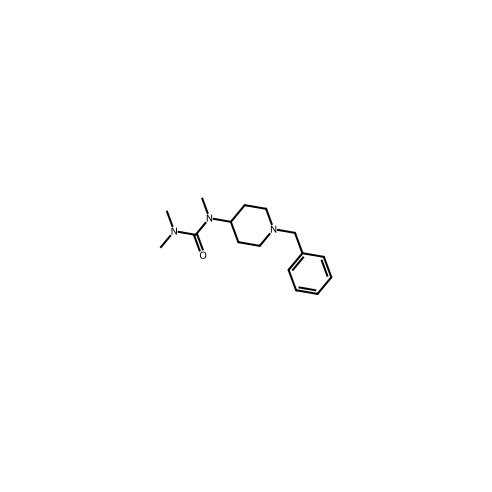 CN(C)C(=O)N(C)C1CCN(Cc2ccccc2)CC1